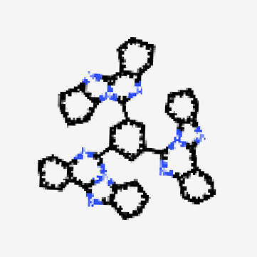 c1ccc2c(c1)nc(-c1cc(-c3nc4ccccc4c4nc5ccccc5n34)cc(-c3nc4ccccc4c4nc5ccccc5n34)c1)n1c3ccccc3nc21